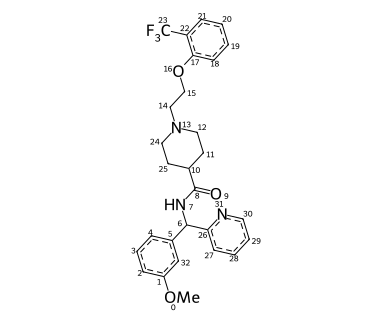 COc1cccc(C(NC(=O)C2CCN(CCOc3ccccc3C(F)(F)F)CC2)c2ccccn2)c1